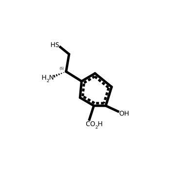 N[C@H](CS)c1ccc(O)c(C(=O)O)c1